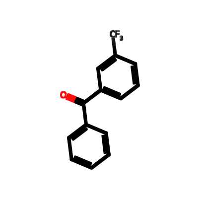 O=C(c1ccccc1)c1cccc(C(F)(F)F)c1